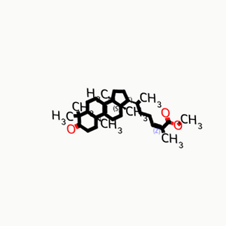 COC(=O)/C(C)=C\CCC(C)[C@@H]1CC[C@]2(C)C3=C(CC[C@@]12C)[C@@]1(C)CCC(=O)C(C)(C)C1CC3